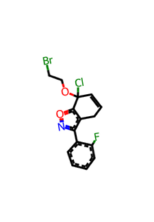 Fc1ccccc1-c1noc2c1CC=CC2(Cl)OCCBr